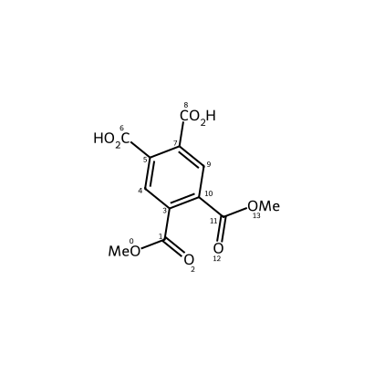 COC(=O)c1cc(C(=O)O)c(C(=O)O)cc1C(=O)OC